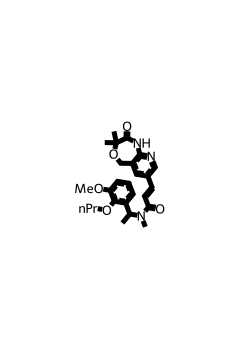 CCCOc1c(OC)cccc1C(C)N(C)C(=O)C=Cc1cnc2c(c1)COC(C)(C)C(=O)N2